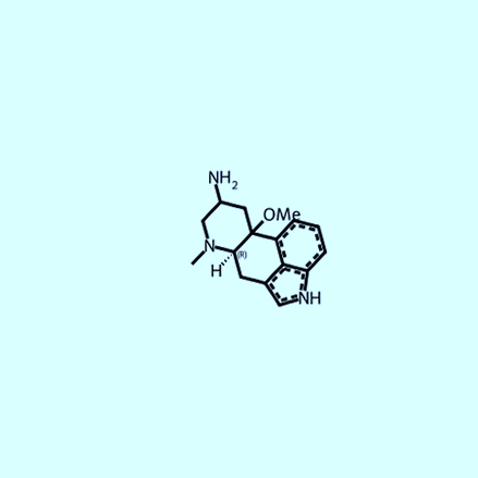 COC12CC(N)CN(C)[C@@H]1Cc1c[nH]c3cccc2c13